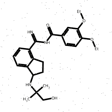 CCOc1ccc(C(=O)NC(=N)c2cccc3c2CCC3NC(C)(C)CO)cc1OCC